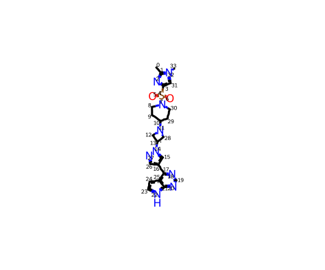 Cc1nc(S(=O)(=O)N2CCC(N3C[C](n4cc(-c5ncnc6[nH]ccc56)cn4)C3)CC2)cn1C